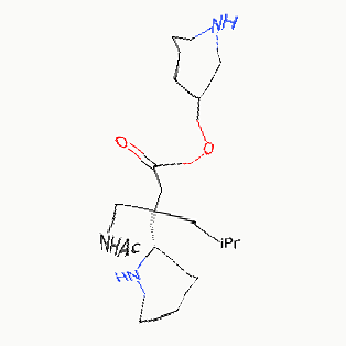 CC(=O)NCC(CC(C)C)(C(=O)OC1CCNC1)[C@@H]1CCCN1